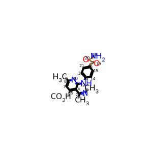 C/N=C(/C)c1c(C(=O)O)cc(C)nc1Nc1ccc(S(N)(=O)=O)cc1